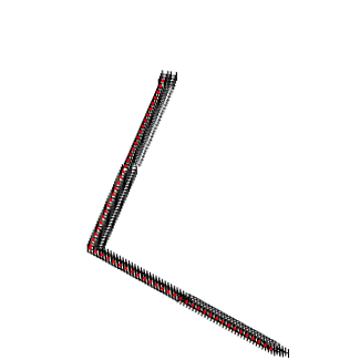 [Al+3].[Al+3].[Al+3].[Al+3].[Al+3].[Al+3].[Al+3].[Al+3].[Al+3].[Al+3].[Al+3].[Al+3].[Al+3].[Al+3].[Al+3].[Al+3].[Al+3].[Al+3].[Al+3].[Al+3].[Al+3].[Al+3].[Al+3].[Al+3].[Al+3].[Al+3].[Al+3].[Al+3].[Al+3].[Al+3].[Al+3].[Al+3].[Al+3].[Al+3].[Al+3].[Al+3].[Al+3].[Al+3].[Al+3].[Al+3].[Al+3].[Al+3].[Al+3].[Al+3].[Al+3].[Al+3].[Al+3].[Al+3].[Al+3].[Al+3].[Al+3].[Al+3].[Al+3].[Al+3].[Al+3].[Al+3].[Al+3].[Al+3].[HH].[HH].[HH].[HH].[HH].[HH].[HH].[HH].[LiH].[LiH].[LiH].[LiH].[LiH].[LiH].[LiH].[LiH].[LiH].[LiH].[LiH].[LiH].[LiH].[LiH].[LiH].[LiH].[LiH].[LiH].[LiH].[LiH].[LiH].[LiH].[LiH].[LiH].[LiH].[LiH].[LiH].[LiH].[LiH].[LiH].[LiH].[LiH].[LiH].[LiH].[LiH].[LiH].[LiH].[LiH].[LiH].[LiH].[LiH].[LiH].[LiH].[LiH].[LiH].[LiH].[LiH].[LiH].[LiH].[LiH].[LiH].[LiH].[LiH].[LiH].[LiH].[LiH].[LiH].[LiH]